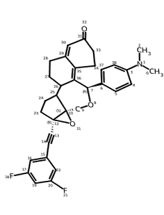 CN(C)c1ccc([C@H]2OC[C@]34O[C@@]3(C#Cc3cc(F)cc(F)c3)CCC4C3CCC4=CC(=O)CCC4=C32)cc1